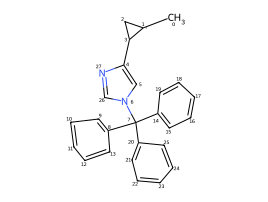 C[C]1CC1c1cn(C(c2ccccc2)(c2ccccc2)c2ccccc2)cn1